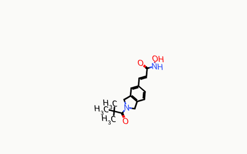 CC(C)(C)C(=O)N1Cc2ccc(C=CC(=O)NO)cc2C1